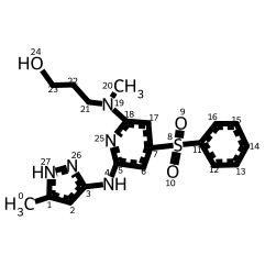 Cc1cc(Nc2cc(S(=O)(=O)c3ccccc3)cc(N(C)CCCO)n2)n[nH]1